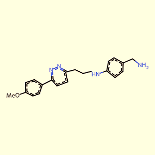 COc1ccc(-c2ccc(CCCNc3ccc(CN)cc3)nn2)cc1